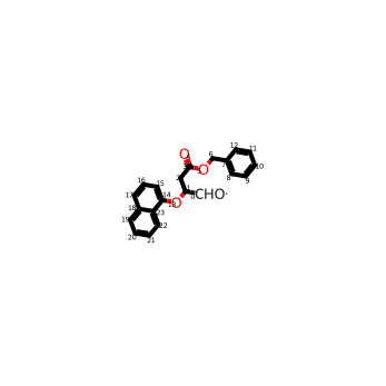 O=[C]C(CC(=O)OCc1ccccc1)Oc1cccc2ccccc12